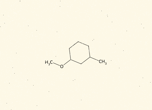 COC1CCCC(C)C1